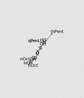 CCCCC/C=C\C/C=C\CCCCCCC(O)CN(CCCCSSCCN1CCN(CCOC(=O)CCCN(CC(O)CCCCCCCC)CC(O)CCCCCCCC)CC1)CC(O)CCCCCC/C=C\C/C=C\CCCCC